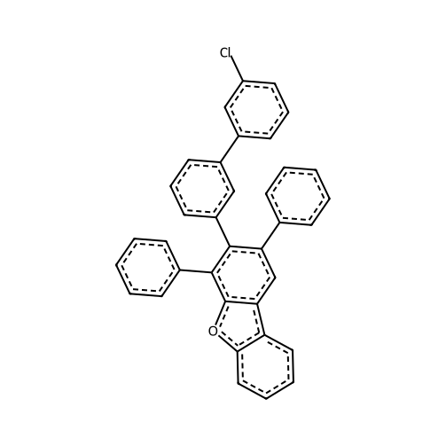 Clc1cccc(-c2cccc(-c3c(-c4ccccc4)cc4c(oc5ccccc54)c3-c3ccccc3)c2)c1